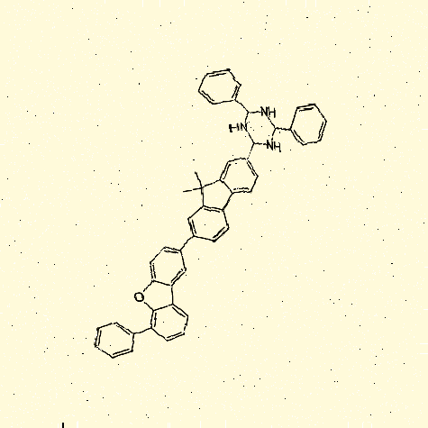 CC1(C)c2cc(-c3ccc4oc5c(-c6ccccc6)cccc5c4c3)ccc2-c2ccc(C3NC(c4ccccc4)NC(c4ccccc4)N3)cc21